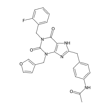 CC(=O)Nc1ccc(Cc2nc3c([nH]2)c(=O)n(Cc2ccccc2F)c(=O)n3Cc2ccoc2)cc1